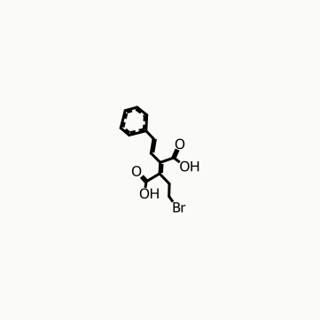 O=C(O)C(C=Cc1ccccc1)=C(CCBr)C(=O)O